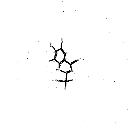 O=c1nc(C(F)(F)F)[nH]c2c(F)c(Br)c(Cl)cc12